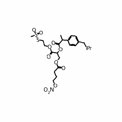 CC(C)Cc1ccc(C(C)C(=O)OC(COC(=O)CCCO[N+](=O)[O-])C(=O)OCCSS(C)(=O)=O)cc1